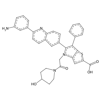 Nc1cccc(-c2ccc3cc(-c4c(-c5ccccc5)c5sc(C(=O)O)cc5n4CC(=O)N4CCC(O)CC4)ccc3n2)c1